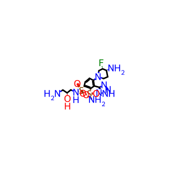 NC[C@@H](O)CNS(=O)(=O)c1ccc(N2CC[C@@H](N)[C@@H](F)C2)c(-c2nn[nH]n2)c1S(N)(=O)=O